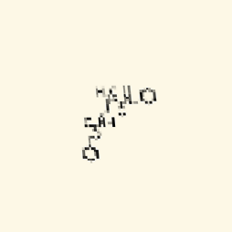 C[C@@H](CCCNC(=O)OCc1ccccc1)C(=O)NCc1ccccc1